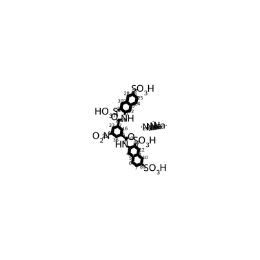 O=C(Nc1cc2ccc(S(=O)(=O)O)cc2cc1S(=O)(=O)O)c1cc(C(=O)Nc2cc3ccc(S(=O)(=O)O)cc3cc2S(=O)(=O)O)cc([N+](=O)[O-])c1.[Na].[Na].[Na].[Na]